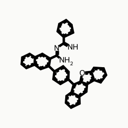 N=C(/N=C(\N)c1cc2ccccc2cc1-c1ccc(-c2c3ccccc3cc3c2oc2ccccc23)cc1)c1ccccc1